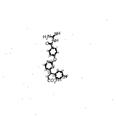 N=C(N)NC(=O)c1ccc(Oc2nccc(C(CC(=O)O)c3ccc(F)cc3)n2)cc1